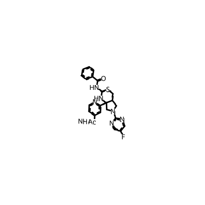 CC(=O)Nc1ccnc(C23CN(c4ncc(F)cn4)CC2CSC(NC(=O)c2ccccc2)N3)c1